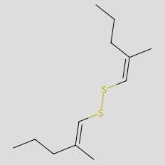 CCCC(C)=CSSC=C(C)CCC